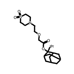 CC(C)C1(OC(=O)COCCN2CCS(=O)(=O)CC2)C2CC3CC(C2)CC1C3